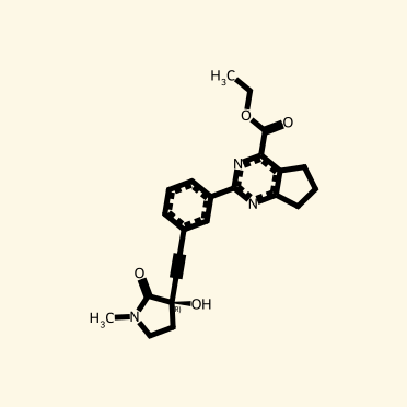 CCOC(=O)c1nc(-c2cccc(C#C[C@]3(O)CCN(C)C3=O)c2)nc2c1CCC2